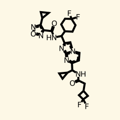 O=C(CC1CC(F)(F)C1)NC(c1ccn2cc(C(NC(=O)c3nonc3C3CC3)C3CCC(F)(F)CC3)nc2n1)C1CC1